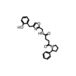 O=C(CCC(=O)N1CCCC1c1ccccc1)NCc1nc(Cc2ccccc2O)co1